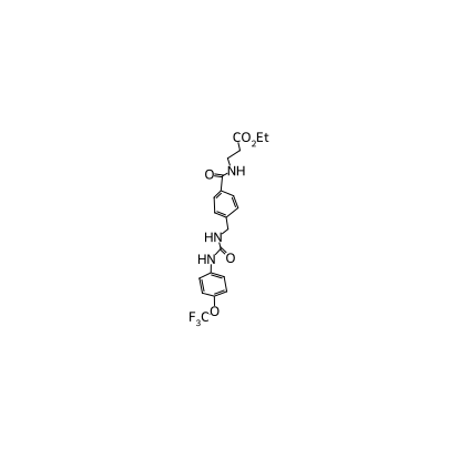 CCOC(=O)CCNC(=O)c1ccc(CNC(=O)Nc2ccc(OC(F)(F)F)cc2)cc1